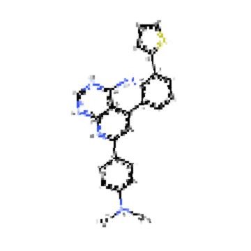 CN(C)c1ccc(-c2cc(-c3cccc(-c4cccs4)c3)c3c(N)ncnc3n2)cc1